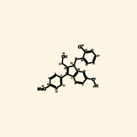 CCOc1ccc2c(-c3ccc(OC)nc3)c(CO)n(Cc3ccccc3Cl)c2c1